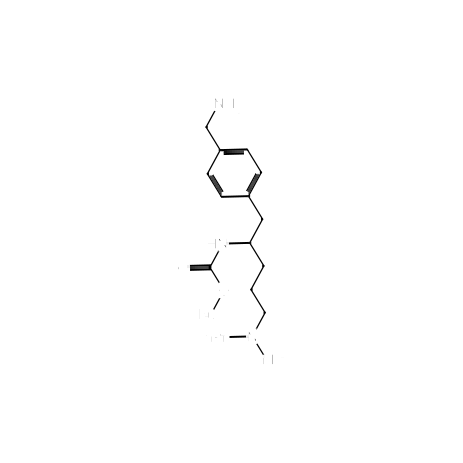 CCCN(CCC)CCCC(Cc1ccc(CN)cc1)NC(=O)OC(C)(C)C